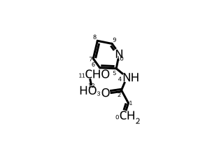 C=CC(=O)Nc1ccccn1.O=CO